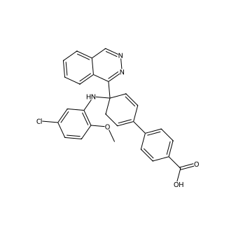 COc1ccc(Cl)cc1NC1(c2nncc3ccccc23)C=CC(c2ccc(C(=O)O)cc2)=CC1